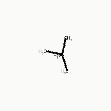 CCCCCCCCCCCCCCCC[PH](CC)(CCCCCCCCCCCCCCCC)CCCCCCCCCCCCCCCC